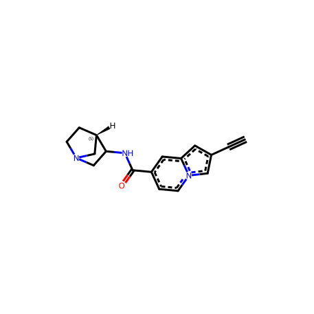 C#Cc1cc2cc(C(=O)NC3CN4CC[C@H]3C4)ccn2c1